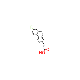 O=C(O)C=Cc1ccc2c(c1)CCc1cc(F)ccc1-2